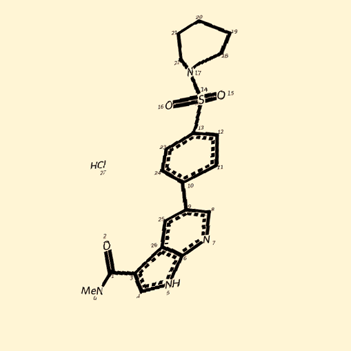 CNC(=O)c1c[nH]c2ncc(-c3ccc(S(=O)(=O)N4CCCCC4)cc3)cc12.Cl